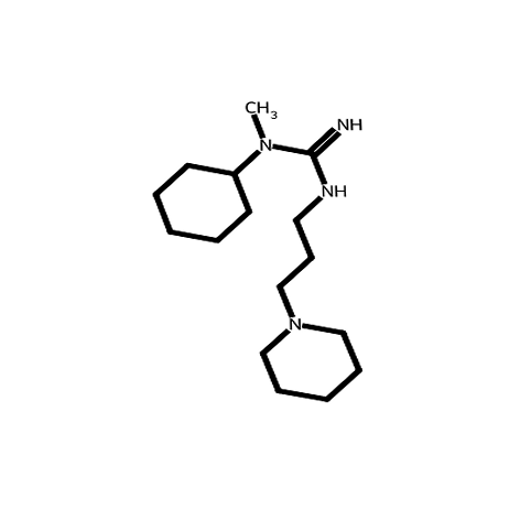 CN(C(=N)NCCCN1CCCCC1)C1CCCCC1